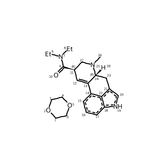 C1COCCO1.CCN(CC)C(=O)[C@@H]1C=C2c3cccc4[nH]cc(c34)C[C@H]2N(C)C1